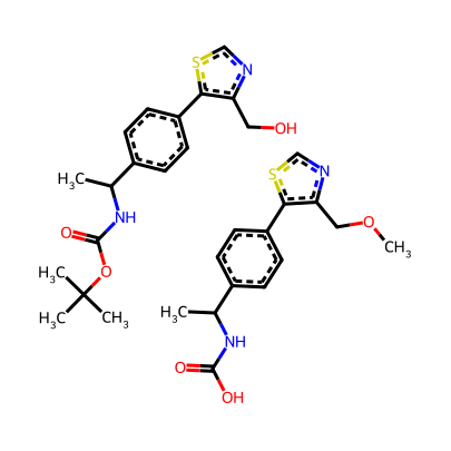 CC(NC(=O)OC(C)(C)C)c1ccc(-c2scnc2CO)cc1.COCc1ncsc1-c1ccc(C(C)NC(=O)O)cc1